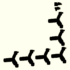 [Er+3].[O]=[Nb](=[O])[O-].[O]=[Nb](=[O])[O-].[O]=[Nb](=[O])[O-].[O]=[Nb](=[O])[O-].[O]=[Nb](=[O])[O-].[O]=[Nb](=[O])[O-].[Y+3]